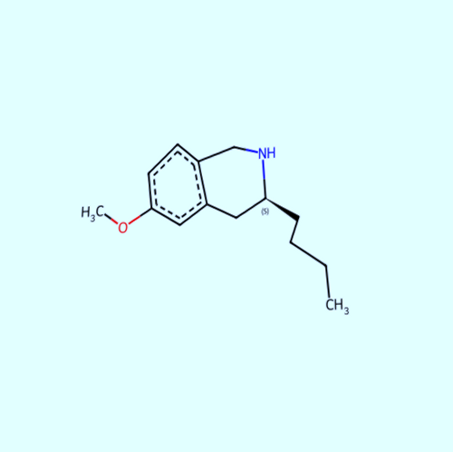 CCCC[C@H]1Cc2cc(OC)ccc2CN1